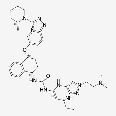 CCC(=N)/C=C(/NC(=O)N[C@H]1CC[C@@H](Oc2ccc3nnc(N4CCCC[C@@H]4C)n3c2)c2ccccc21)Nc1cnn(CCN(C)C)c1